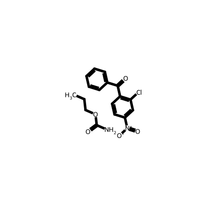 CCCOC(N)=O.O=C(c1ccccc1)c1ccc([N+](=O)[O-])cc1Cl